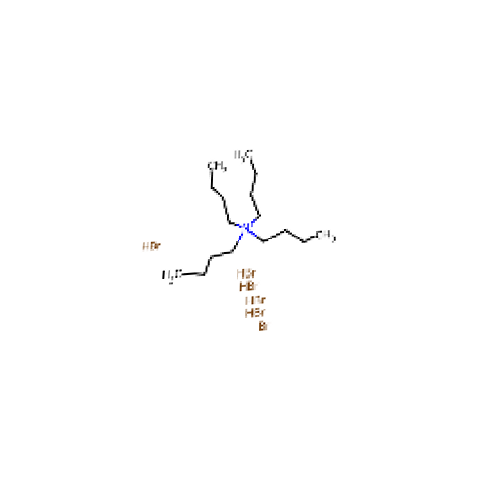 Br.Br.Br.Br.Br.CCCC[N+](CCCC)(CCCC)CCCC.[Br-]